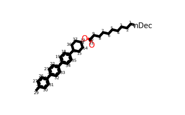 [CH2+][CH-]CCCCCCCCCCCCCCCCCC(=O)OC1CCC(c2ccc(-c3ccc(-c4ccc(C)cc4)cc3)cc2)CC1